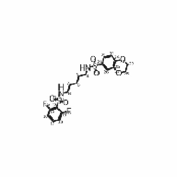 O=S(=O)(NCCCCCNS(=O)(=O)c1c(F)cccc1F)c1ccc2c(c1)OCCO2